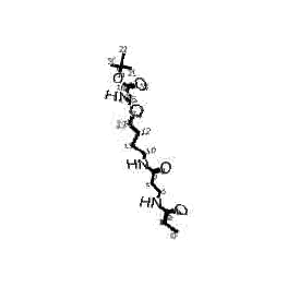 CCC(=O)NCCC(=O)NCCCCONC(=O)OC(C)(C)C